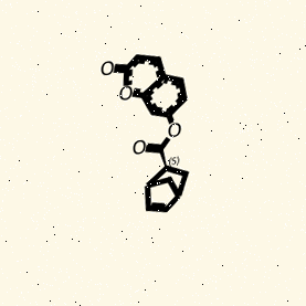 O=C(Oc1ccc2ccc(=O)oc2c1)[C@H]1CC2C=CC1C2